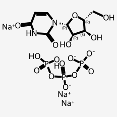 O=P([O-])([O-])OP(=O)([O-])OP(=O)(O)O.O=c1ccn([C@@H]2O[C@H](CO)[C@@H](O)[C@H]2O)c(=O)[nH]1.[Na+].[Na+].[Na+]